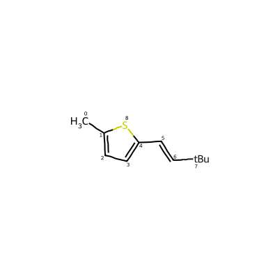 Cc1ccc(/C=C/C(C)(C)C)s1